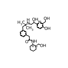 CC(C)(Cc1cccc(CC(=O)N[C@@H]2CCCC[C@@H]2CO)c1)NCC(O)c1ccc(O)c(CO)n1